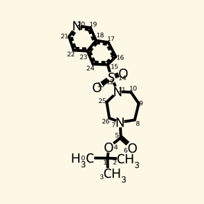 CC(C)(C)OC(=O)N1CCCN(S(=O)(=O)c2ccc3cnccc3c2)CC1